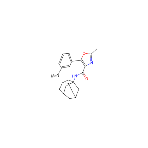 COc1cccc(-c2oc(C)nc2C(=O)NC23CC4CC(CC(C4)C2)C3)c1